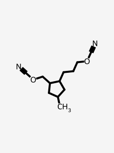 CC1CC(CCCOC#N)C(COC#N)C1